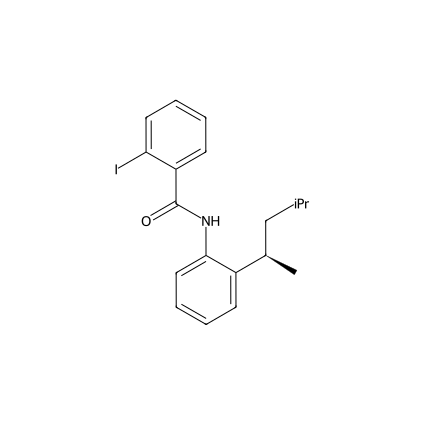 CC(C)C[C@@H](C)c1ccccc1NC(=O)c1ccccc1I